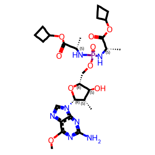 COc1nc(N)nc2c1ncn2[C@@H]1O[C@H](COP(=O)(N[C@@H](C)C(=O)OC2CCC2)N[C@@H](C)C(=O)OC2CCC2)[C@@H](O)[C@@H]1C